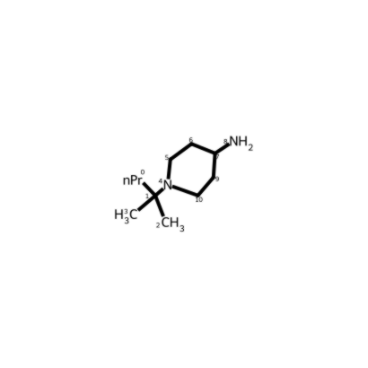 CCCC(C)(C)N1CCC(N)CC1